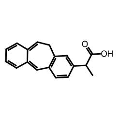 CC(C(=O)O)c1ccc2c(c1)CC=c1ccccc1=C2